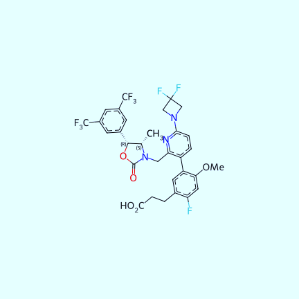 COc1cc(F)c(CCC(=O)O)cc1-c1ccc(N2CC(F)(F)C2)nc1CN1C(=O)O[C@H](c2cc(C(F)(F)F)cc(C(F)(F)F)c2)[C@@H]1C